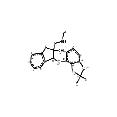 CNCC1(O)Cc2ccccc2C1Oc1cccc2c1OC(C)(C)O2